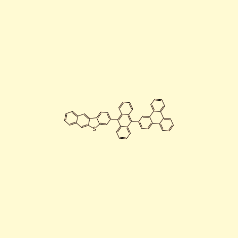 c1ccc2cc3c(cc2c1)sc1cc(-c2c4ccccc4c(-c4ccc5c6ccccc6c6ccccc6c5c4)c4ccccc24)ccc13